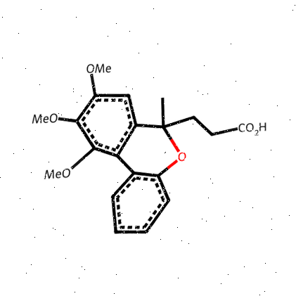 COc1cc2c(c(OC)c1OC)-c1ccccc1OC2(C)CCC(=O)O